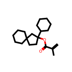 C=C(C)C(=O)OC1(C2CCCCC2)CCC2(CCCCC2)C1